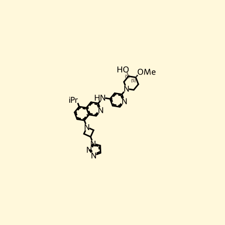 CO[C@H]1CCN(c2cc(Nc3cc4c(C(C)C)ccc(N5CC(n6ccnn6)C5)c4cn3)ccn2)C[C@@H]1O